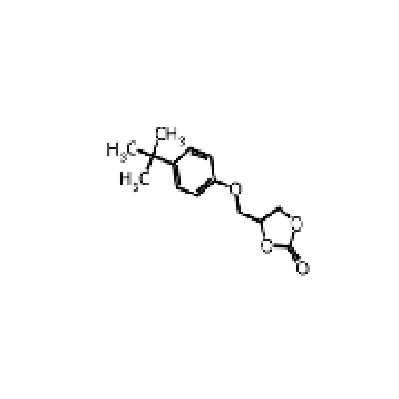 CC(C)(C)c1ccc(OCC2COC(=O)O2)cc1